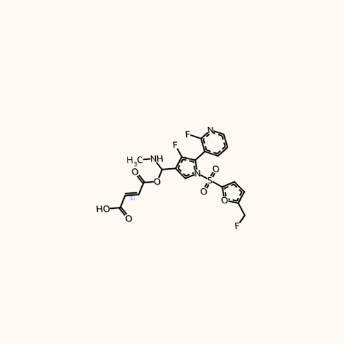 CNC(OC(=O)/C=C/C(=O)O)c1cn(S(=O)(=O)c2ccc(CF)o2)c(-c2cccnc2F)c1F